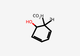 [2H]C1(C(=O)O)C=CC=CC1O